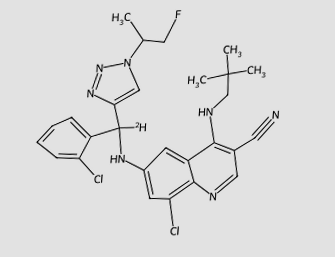 [2H]C(Nc1cc(Cl)c2ncc(C#N)c(NCC(C)(C)C)c2c1)(c1cn(C(C)CF)nn1)c1ccccc1Cl